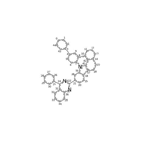 c1ccc(-c2ccc3c(c2)c2cccc4ccc5c6ccc(-c7nc(-c8ccccc8)c8ccccc8n7)cc6n3c5c42)cc1